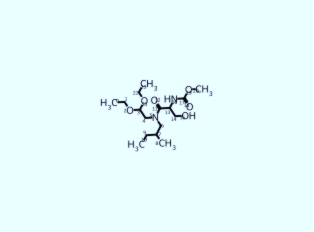 CCOC(CN(CC(C)CC)C(=O)C(CO)NC(=O)OC)OCC